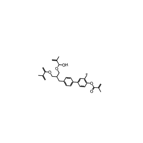 C=C(C)C(=C)OCC(COC(O)C(=C)C)Cc1ccc(-c2ccc(OC(=O)C(=C)C)c(F)c2)cc1